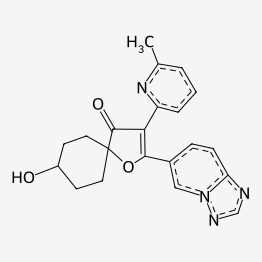 Cc1cccc(C2=C(c3ccc4ncnn4c3)OC3(CCC(O)CC3)C2=O)n1